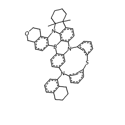 CC12CCCCC1(C)N1c3c(ccc4c3CCOC4)B3c4ccc5cc4N(c4cccc(c4)Sc4cccc(c4)N5c4cccc5c4CCCC5)c4ccc2c1c43